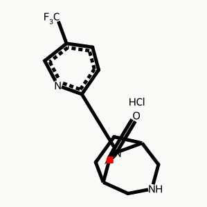 Cl.O=C1N(c2ccc(C(F)(F)F)cn2)CCC12C1CCC2CNC1